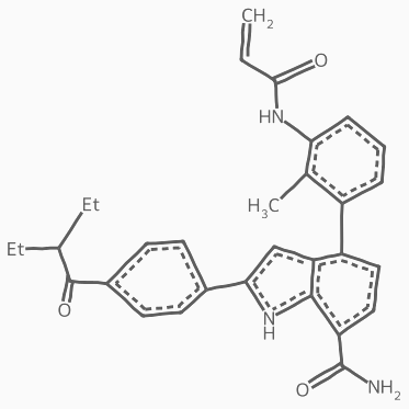 C=CC(=O)Nc1cccc(-c2ccc(C(N)=O)c3[nH]c(-c4ccc(C(=O)C(CC)CC)cc4)cc23)c1C